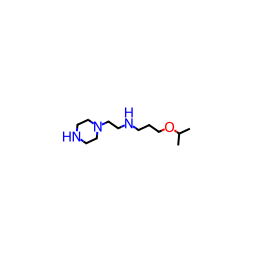 CC(C)OCCCNCCN1CCNCC1